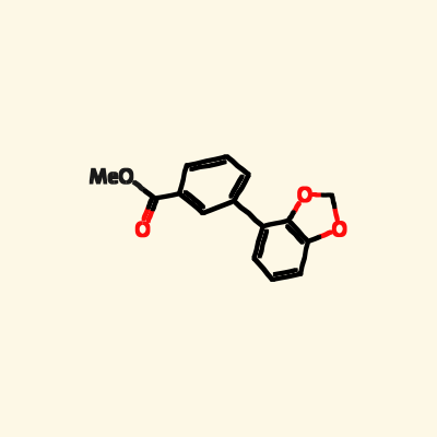 COC(=O)c1cccc(-c2cccc3c2OCO3)c1